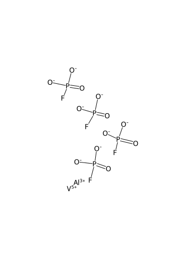 O=P([O-])([O-])F.O=P([O-])([O-])F.O=P([O-])([O-])F.O=P([O-])([O-])F.[Al+3].[V+5]